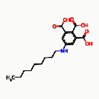 CCCCCCCCCNc1cc(C(=O)O)c(C(=O)O)c(C(=O)O)c1